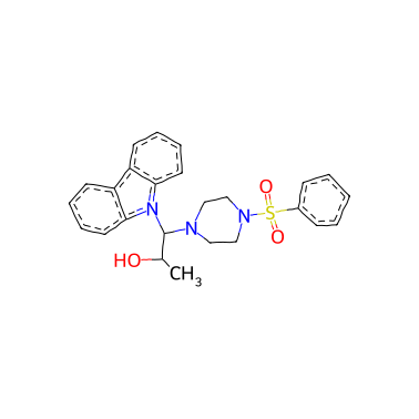 CC(O)C(N1CCN(S(=O)(=O)c2ccccc2)CC1)n1c2ccccc2c2ccccc21